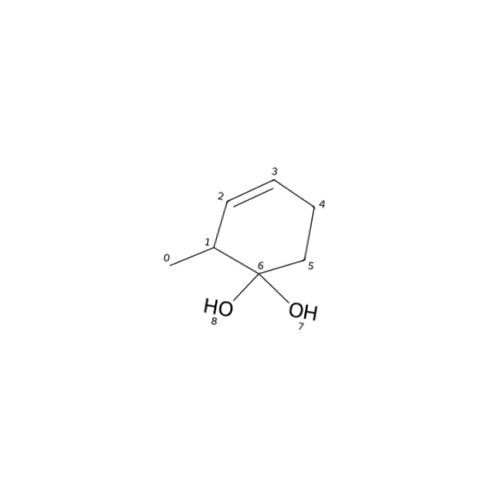 CC1C=CCCC1(O)O